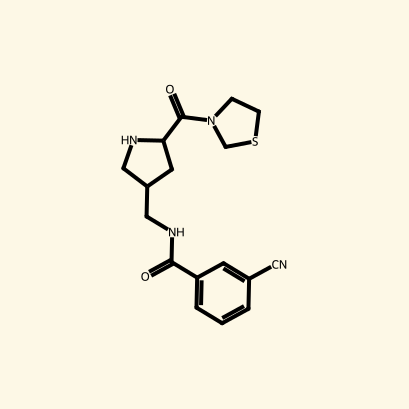 N#Cc1cccc(C(=O)NCC2CNC(C(=O)N3CCSC3)C2)c1